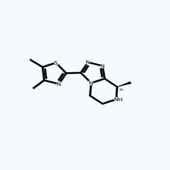 Cc1nc(-c2nnc3n2CCN[C@@H]3C)sc1C